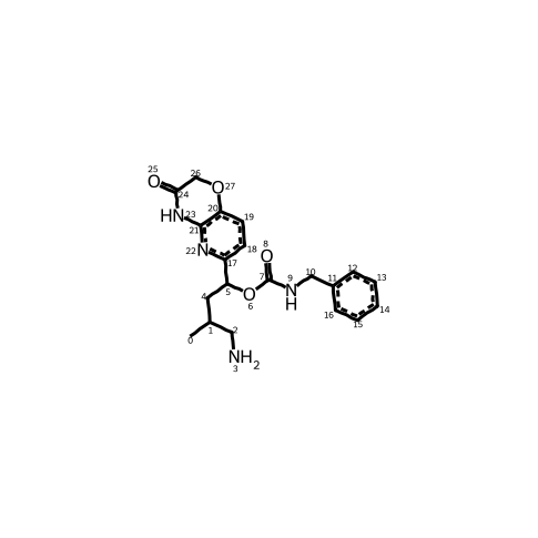 CC(CN)CC(OC(=O)NCc1ccccc1)c1ccc2c(n1)NC(=O)CO2